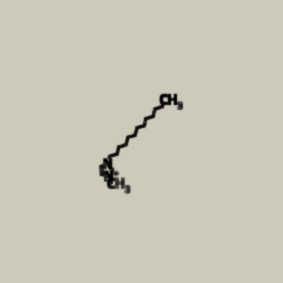 CCCCCCCCCCCCCn1cc[n+](C)c1